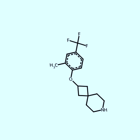 Cc1cc(C(F)(F)F)ccc1OC1CC2(CCNCC2)C1